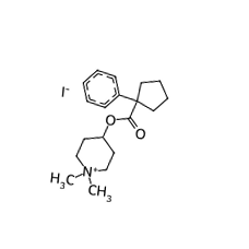 C[N+]1(C)CCC(OC(=O)C2(c3ccccc3)CCCC2)CC1.[I-]